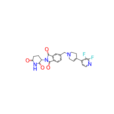 O=C1CCC(N2C(=O)c3ccc(CN4CC=C(c5ccnc(F)c5F)CC4)cc3C2=O)C(=O)N1